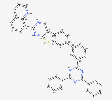 c1ccc(-c2nc(-c3ccccc3)nc(-c3cccc(-c4ccc5c(c4)sc4nc(-c6cccc7cccnc67)ncc45)c3)n2)cc1